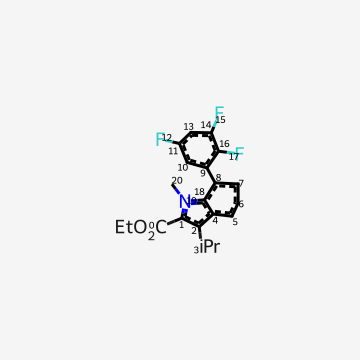 CCOC(=O)c1c(C(C)C)c2cccc(-c3cc(F)cc(F)c3F)c2n1C